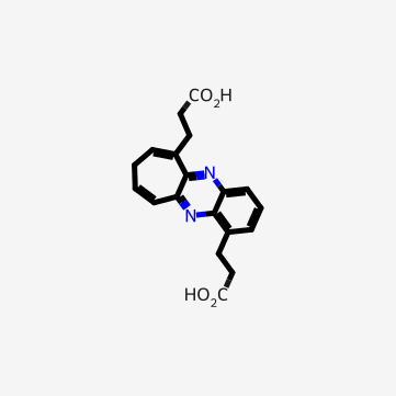 O=C(O)CCC1=CCC=Cc2nc3c(CCC(=O)O)cccc3nc21